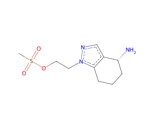 CS(=O)(=O)OCCn1ncc2c1CCC[C@H]2N